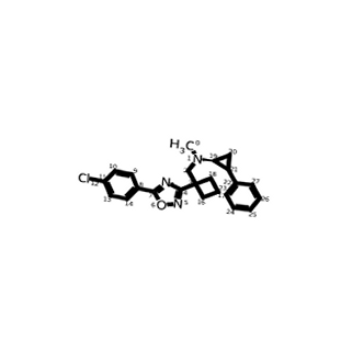 CN(CC1(c2noc(-c3ccc(Cl)cc3)n2)CCC1)[C@H]1CC1c1ccccc1